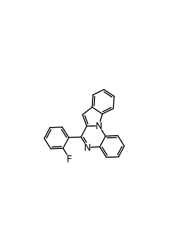 Fc1ccccc1-c1nc2ccccc2n2c1cc1ccccc12